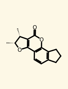 C[C@@H]1c2c(c3ccc4c(c3oc2=O)CCC4)O[C@@H]1C